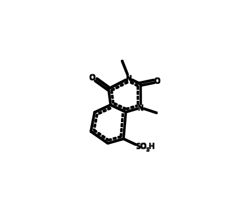 Cn1c(=O)c2cccc(S(=O)(=O)O)c2n(C)c1=O